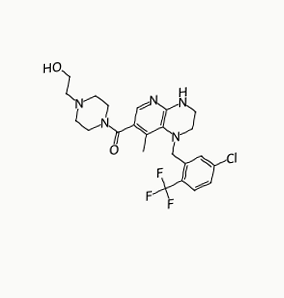 Cc1c(C(=O)N2CCN(CCO)CC2)cnc2c1N(Cc1cc(Cl)ccc1C(F)(F)F)CCN2